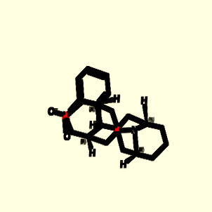 O=[N+]([O-])c1ccccc1NC1C[C@H]2CCC[C@@H](C1)N2C1C[C@H]2CCC[C@@H](C1)C2